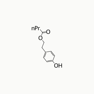 CCCC(=O)OCCc1ccc(O)cc1